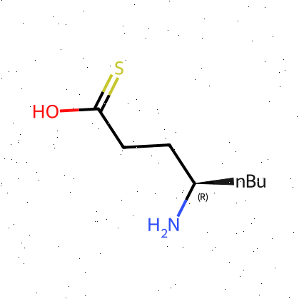 CCCC[C@@H](N)CCC(O)=S